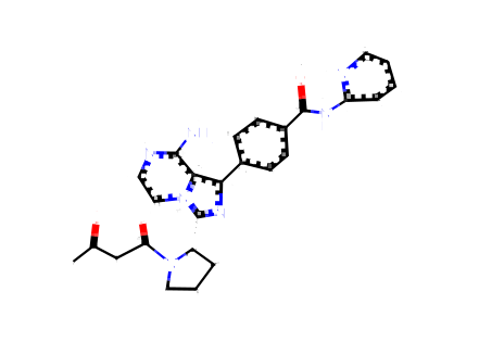 CC(=O)CC(=O)N1CCC[C@H]1c1nc(-c2ccc(C(=O)Nc3ccccn3)cc2)c2c(N)nccn12